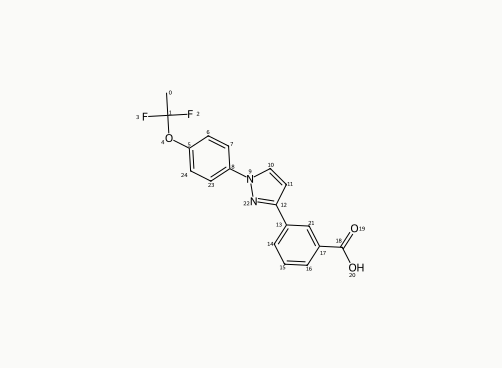 CC(F)(F)Oc1ccc(-n2ccc(-c3cccc(C(=O)O)c3)n2)cc1